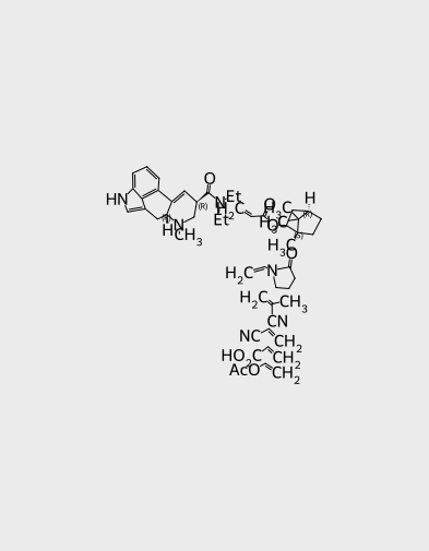 C=C(C)C#N.C=CC#N.C=CC(=O)O.C=CC(=O)OC1C[C@H]2CC[C@@]1(C)C2(C)C.C=CN1CCCC1=O.C=COC(C)=O.CCN(CC)C(=O)[C@@H]1C=C2c3cccc4[nH]cc(c34)C[C@H]2N(C)C1